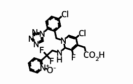 O=C(O)CC1=C(F)C(NCC(F)(F)c2cccc[n+]2[O-])N(Cc2cc(Cl)ccc2-n2cnnn2)C=C1Cl